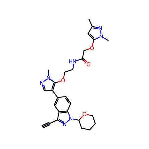 C#Cc1nn(C2CCCCO2)c2ccc(-c3cnn(C)c3OCCNC(=O)COc3cc(C)nn3C)cc12